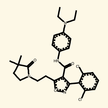 CCN(CC)c1ccc(NC(=O)c2c(-c3c(Cl)cccc3Cl)noc2CCN2CCC(C)(C)C2=O)cc1